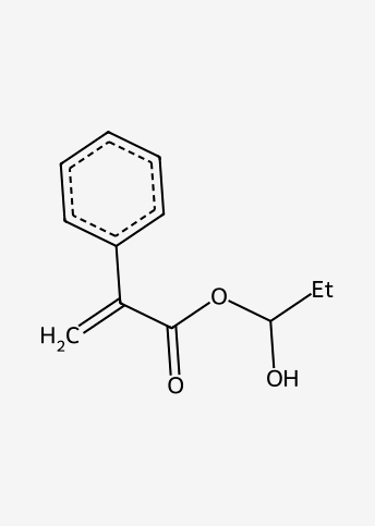 C=C(C(=O)OC(O)CC)c1ccccc1